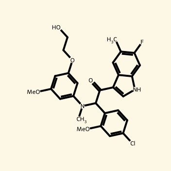 COc1cc(OCCO)cc(N(C)C(C(=O)c2c[nH]c3cc(F)c(C)cc23)c2ccc(Cl)cc2OC)c1